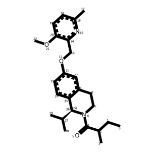 CCC(C)C(=O)N1CCc2cc(OCc3nc(C)ccc3OC)ccc2[C@@H]1C(C)C